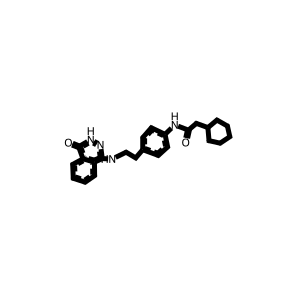 O=C(CC1CCCCC1)Nc1ccc(CCNc2n[nH]c(=O)c3ccccc23)cc1